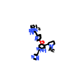 CC(=O)N1CCCC1c1cc2[nH]c(-c3cnccn3)nc2cc1Oc1ccc(-c2nnn(C)n2)nc1